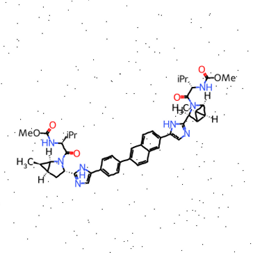 COC(=O)N[C@H](C(=O)N1[C@H](c2ncc(-c3ccc4cc(-c5ccc(-c6cnc([C@@H]7C[C@H]8[C@@H](C)[C@H]8N7C(=O)[C@@H](NC(=O)OC)C(C)C)[nH]6)cc5)ccc4c3)[nH]2)C2[C@@H]3[C@H]1[C@]23C)C(C)C